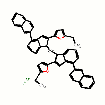 CCc1ccc(C2=Cc3c(-c4ccc5ccccc5c4)cccc3[CH]2[Zr+2][CH]2C(c3ccc(CC)o3)=Cc3c(-c4ccc5ccccc5c4)cccc32)o1.[Cl-].[Cl-]